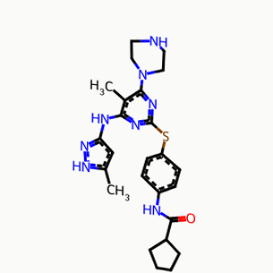 Cc1cc(Nc2nc(Sc3ccc(NC(=O)C4CCCC4)cc3)nc(N3CCNCC3)c2C)n[nH]1